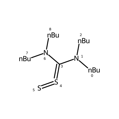 CCCCN(CCCC)C(=S=S)N(CCCC)CCCC